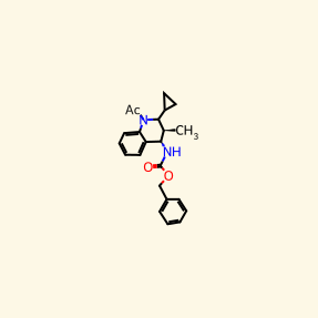 CC(=O)N1c2ccccc2[C@H](NC(=O)OCc2ccccc2)[C@H](C)C1C1CC1